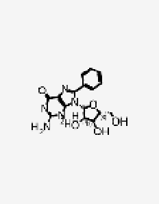 [2H]n1c(N)nc(=O)c2nc(-c3ccccc3)n([C@@H]3O[C@H](CO)[C@@H](O)[C@H]3O)c21